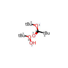 CC(C)(C)OC(=O)C(C)(C)C.CC(C)(C)OO